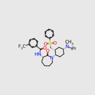 CC(C)N(C)[C@@H]1CC[C@H](N2CCCC[C@H](NC(=O)c3cccc(C(F)(F)F)c3)C2=O)[C@H](CS(=O)(=O)c2ccccc2)C1